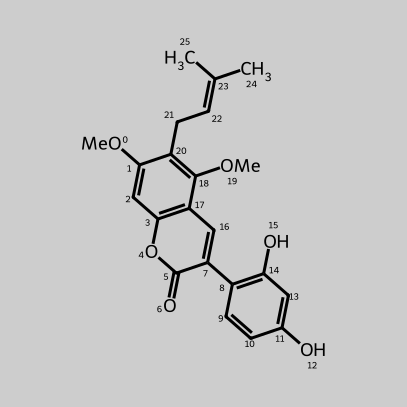 COc1cc2oc(=O)c(-c3ccc(O)cc3O)cc2c(OC)c1CC=C(C)C